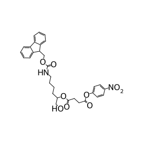 O=C(CCC(=O)OC(CO)CCCCNC(=O)OCC1c2ccccc2-c2ccccc21)Oc1ccc([N+](=O)[O-])cc1